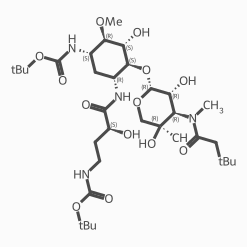 CO[C@H]1[C@H](O)[C@@H](O[C@H]2OC[C@](C)(O)[C@H](N(C)C(=O)CC(C)(C)C)[C@H]2O)[C@H](NC(=O)[C@@H](O)CCNC(=O)OC(C)(C)C)C[C@@H]1NC(=O)OC(C)(C)C